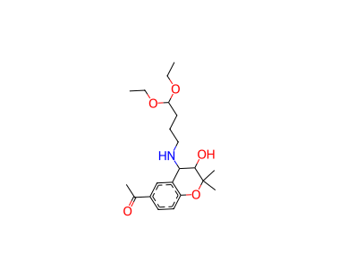 CCOC(CCCNC1c2cc(C(C)=O)ccc2OC(C)(C)C1O)OCC